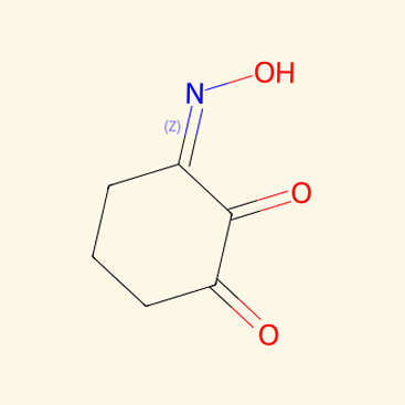 O=C1CCC/C(=N/O)C1=O